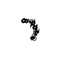 Cc1cc(-c2ncn(COC(=O)C(C)(C)C)n2)ccc1-c1cccc(CNC2Cc3ccccc3C2)c1F